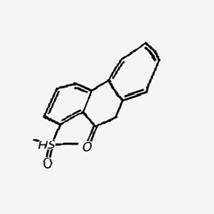 C[SH](C)(=O)c1cccc2c1C(=O)Cc1ccccc1-2